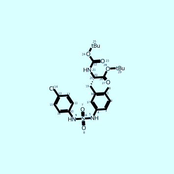 Cc1ccc(NS(=O)(=O)Nc2ccc(Cl)cc2)cc1C[C@H](NC(=O)OC(C)(C)C)C(=O)OC(C)(C)C